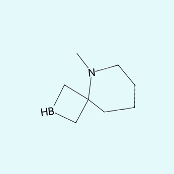 CN1CCCCC12CBC2